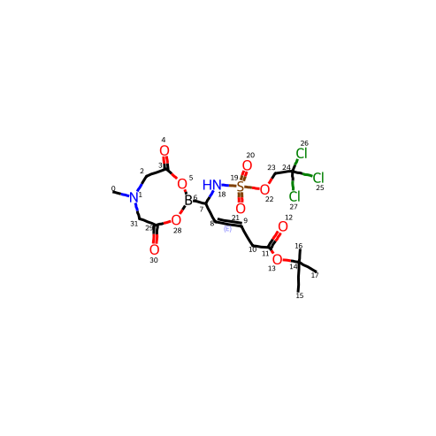 CN1CC(=O)OB(C(/C=C/CC(=O)OC(C)(C)C)NS(=O)(=O)OCC(Cl)(Cl)Cl)OC(=O)C1